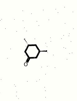 C[C@H]1CC(=O)C[C@H](C)C1